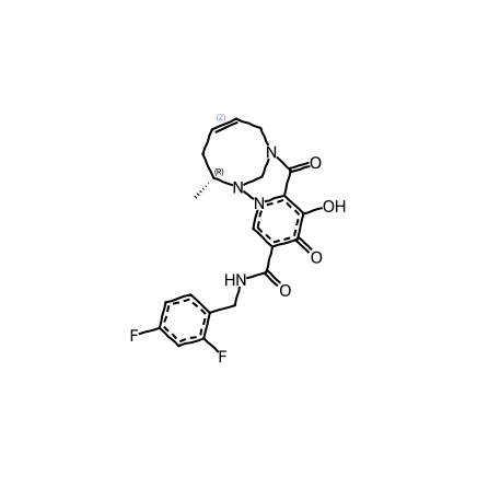 C[C@@H]1C/C=C\CN2CN1n1cc(C(=O)NCc3ccc(F)cc3F)c(=O)c(O)c1C2=O